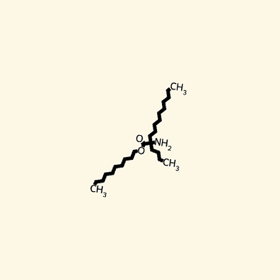 CCCCCCCCCCOC(=O)C(N)(CCCC)CCCCCCCCCC